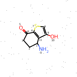 NC1CCC(=O)c2scc(O)c21